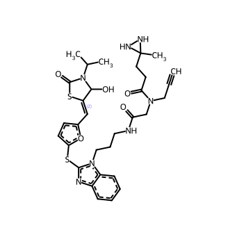 C#CCN(CC(=O)NCCCn1c(Sc2ccc(/C=C3\SC(=O)N(C(C)C)C3O)o2)nc2ccccc21)C(=O)CCC1(C)NN1